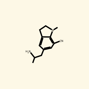 CC(N)Cc1cc(C#N)c2c(c1)CCN2C